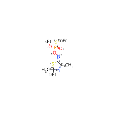 CCCSP(=O)(OCC)O/N=C1\SC(C)(CC)N=C1C